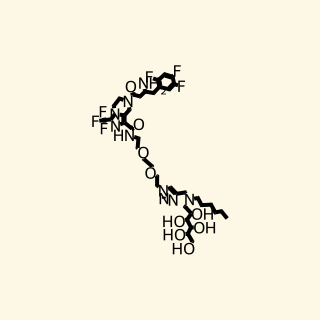 CCCCCCN(Cc1cn(CCOCCOCCNC(=O)c2nc(C(F)(F)F)n3c2CN(C(=O)CC(N)Cc2cc(F)c(F)cc2F)CC3)nn1)CC(O)C(O)C(O)C(O)CO